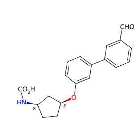 O=Cc1cccc(-c2cccc(O[C@H]3CC[C@@H](NC(=O)O)C3)c2)c1